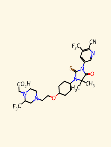 CC1(C)C(=O)N(c2cnc(C#N)c(C(F)(F)F)c2)C(=S)N1C1CCC(OCCN2CCN(CC(=O)O)C(C(F)(F)F)C2)CC1